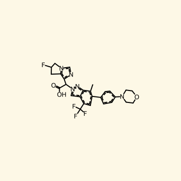 Cc1c(-c2ccc(N3CCOCC3)cc2)cc(C(F)(F)F)c2cn(C(C(=O)O)c3ncn4c3CC(F)C4)nc12